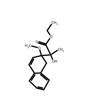 CCOC(=O)C(C)(O)C1(OC)C=Cc2ccccc2C1